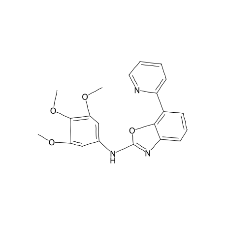 COc1cc(Nc2nc3cccc(-c4ccccn4)c3o2)cc(OC)c1OC